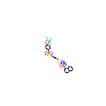 O=C(OCC#CCSc1nnc(-c2cccc3ccccc23)o1)c1ccc(OC(F)(F)F)cc1